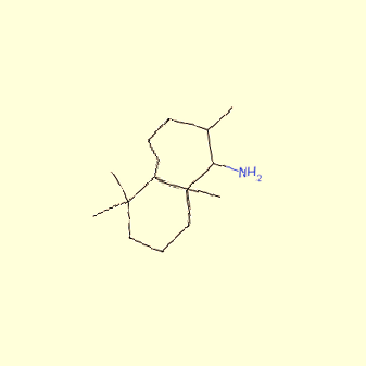 CC1CCC2C(C)(C)CCCC2(C)C1N